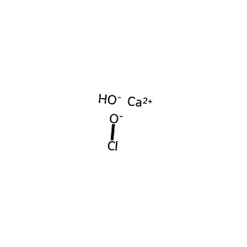 [Ca+2].[O-]Cl.[OH-]